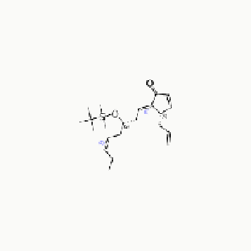 C=CC[C@H]1C=CC(=O)/C1=C/C[C@H](C/C=C\CC)O[Si](C)(C)C(C)(C)C